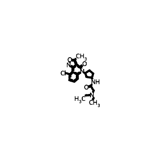 CCN(CC)CC(=O)NC1CCC(n2c(=O)c3c(C)onc3c3c(Cl)cccc32)C1